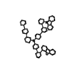 c1ccc(-c2ccc(-c3cccc(N(c4ccc(-c5cccc(-c6ccccc6-n6c7ccccc7c7ccccc76)c5)cc4)c4ccc(-c5ccccc5-c5cccc6c5oc5ccccc56)cc4)c3)cc2)cc1